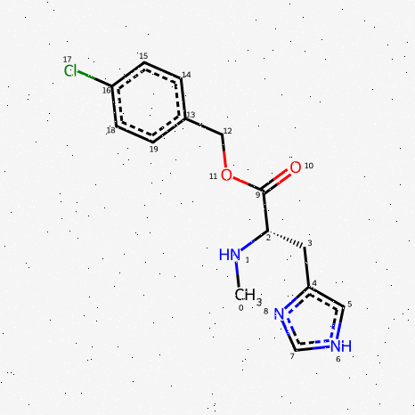 CN[C@@H](Cc1c[nH]cn1)C(=O)OCc1ccc(Cl)cc1